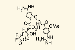 COc1cc(NC(=N)N)ccc1C(=O)NCCOc1cc(C(=N)N)ccc1CC(=O)C(=O)O.O=C(O)C(F)(F)F.O=C(O)C(F)(F)F